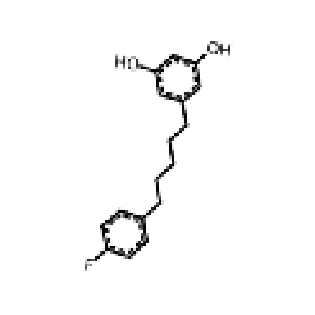 Oc1cc(O)cc(CCCCCc2ccc(F)cc2)c1